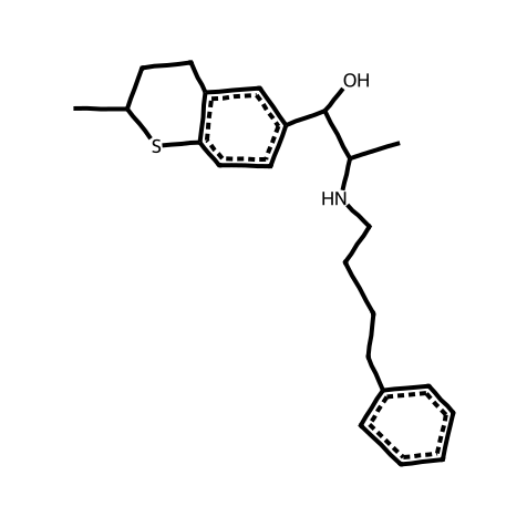 CC1CCc2cc(C(O)C(C)NCCCCc3ccccc3)ccc2S1